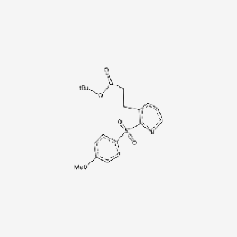 COc1ccc(S(=O)(=O)c2ncccc2CCC(=O)OC(C)(C)C)cc1